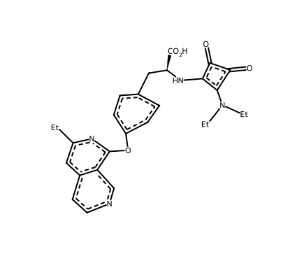 CCc1cc2ccncc2c(Oc2ccc(C[C@H](Nc3c(N(CC)CC)c(=O)c3=O)C(=O)O)cc2)n1